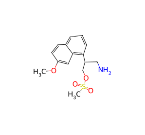 COc1ccc2cccc(C(CN)COS(C)(=O)=O)c2c1